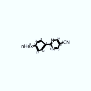 CCCCCCc1ccc(-c2ncc(C#N)cn2)cc1